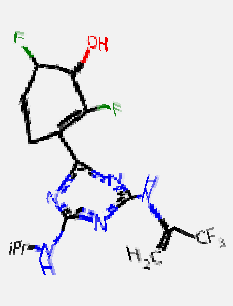 C=C(Nc1nc(NC(C)C)nc(C2=C(F)C(O)C(F)CC2)n1)C(F)(F)F